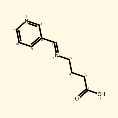 O=C(O)CCCN=Cc1cccnc1